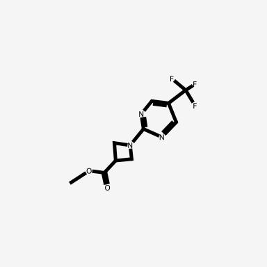 COC(=O)C1CN(c2ncc(C(F)(F)F)cn2)C1